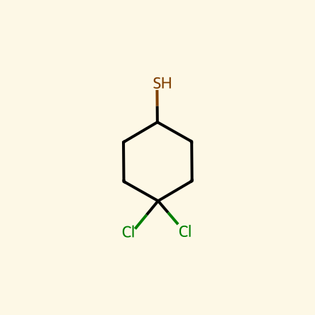 SC1CCC(Cl)(Cl)CC1